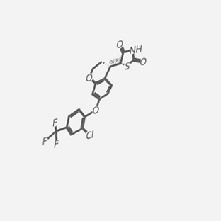 O=C1NC(=O)[C@@H]([C@H]2CCOc3cc(Oc4ccc(C(F)(F)F)cc4Cl)ccc32)S1